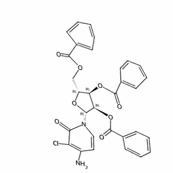 Nc1ccn([C@@H]2O[C@H](COC(=O)c3ccccc3)[C@@H](OC(=O)c3ccccc3)[C@H]2OC(=O)c2ccccc2)c(=O)c1Cl